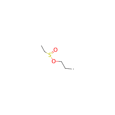 [CH2]CCOS(=O)CC